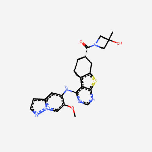 COc1cn2nccc2cc1Nc1ncnc2sc3c(c12)CC[C@H](C(=O)N1CC(C)(O)C1)C3